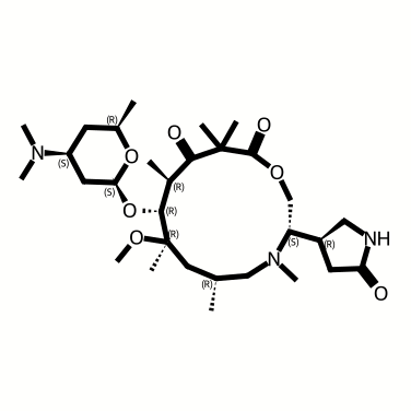 CO[C@]1(C)C[C@@H](C)CN(C)[C@@H]([C@H]2CNC(=O)C2)COC(=O)C(C)(C)C(=O)[C@H](C)[C@H]1O[C@H]1C[C@@H](N(C)C)C[C@@H](C)O1